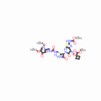 CCCCOc1cn(OCCCC)c(CNC(=O)NC[C@H]2NC(=O)[C@H]2NC(=O)/C(=N\OC2(C(=O)OC(C)(C)C)CCC2)c2csc(NC(=O)OC(C)(C)C)n2)cc1=O